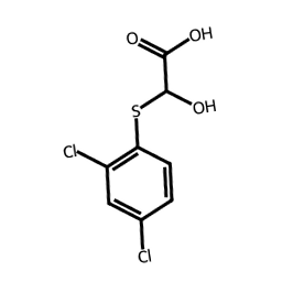 O=C(O)C(O)Sc1ccc(Cl)cc1Cl